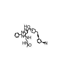 CC(=O)NCCNc1nc(-c2ccccc2)nc2[nH]c(C(=O)N3CCC(CC#Cc4cccc(C#N)c4)CC3)cc12